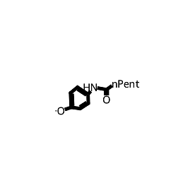 CCCCCC(=O)Nc1ccc([O])cc1